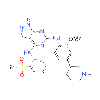 COc1cc(C2CCCN(C)C2)ccc1Nc1nc(Nc2ccccc2S(=O)(=O)C(C)C)c2cn[nH]c2n1